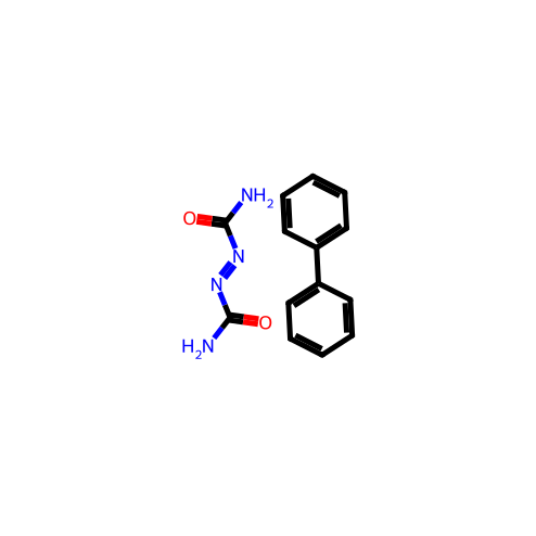 NC(=O)/N=N/C(N)=O.c1ccc(-c2ccccc2)cc1